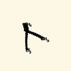 CCCCCCCCCCCCCCCCCCC(CCCCCCCCCCCCCCCCCC)C(=O)N=C1C=CC(=NS(C)(=O)=O)C=C1